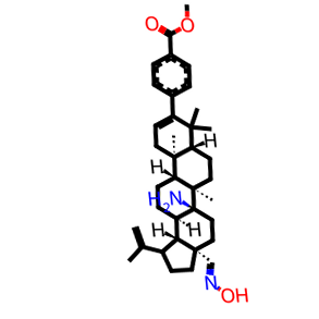 C=C(C)C1CC[C@]2(/C=N/O)CC[C@]3(N)[C@H](CC[C@@H]4[C@@]5(C)CC=C(c6ccc(C(=O)OC)cc6)C(C)(C)[C@@H]5CC[C@]43C)[C@@H]12